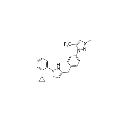 Cc1cc(C(F)(F)F)n(-c2ccc(Cc3ccc(-c4ccccc4C4CC4)[nH]3)cc2)n1